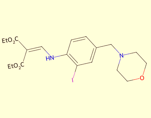 CCOC(=O)C(=CNc1ccc(CN2CCOCC2)cc1I)C(=O)OCC